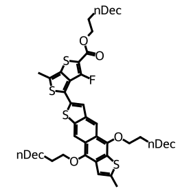 CCCCCCCCCCCCOC(=O)c1sc2c(C)sc(-c3cc4cc5c(OCCCCCCCCCCCC)c6sc(C)cc6c(OCCCCCCCCCCCC)c5cc4s3)c2c1F